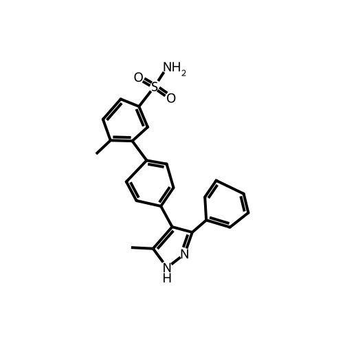 Cc1ccc(S(N)(=O)=O)cc1-c1ccc(-c2c(-c3ccccc3)n[nH]c2C)cc1